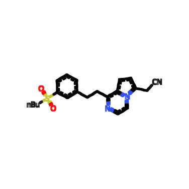 CCCCS(=O)(=O)c1cccc(CCc2nccn3c(CC#N)ccc23)c1